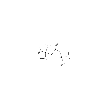 O=[C]C(CC(F)([N+](=O)[O-])[N+](=O)[O-])CC([N+](=O)[O-])([N+](=O)[O-])[N+](=O)[O-]